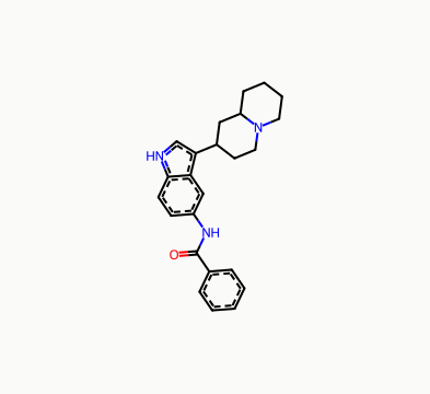 O=C(Nc1ccc2[nH]cc(C3CCN4CCCCC4C3)c2c1)c1ccccc1